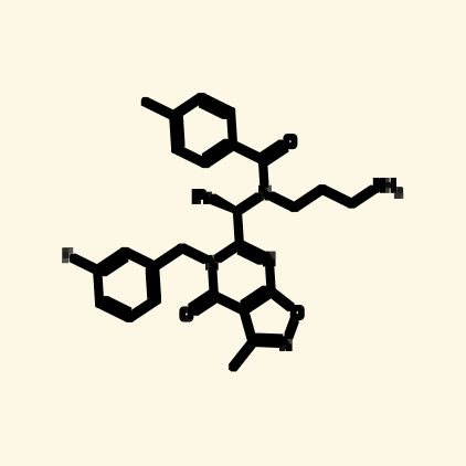 Cc1ccc(C(=O)N(CCCN)[C@@H](c2nc3onc(C)c3c(=O)n2Cc2cccc(F)c2)C(C)C)cc1